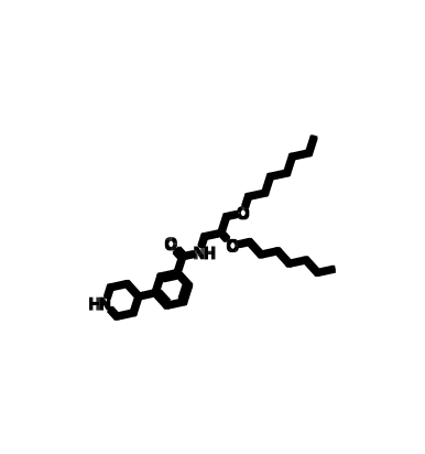 CCCCCCCOCC(CNC(=O)c1cccc(C2CCNCC2)c1)OCCCCCCC